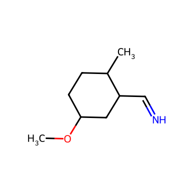 COC1CCC(C)C(C=N)C1